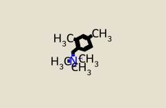 Cc1ccc(C[N+](C)(C)C)c(C)c1